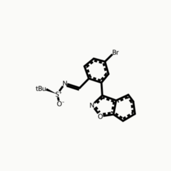 CC(C)(C)[S@+]([O-])/N=C/c1ccc(Br)cc1-c1noc2ccccc12